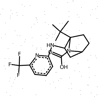 CC(C)(C)C12CCC(CC1Nc1cccc(C(F)(F)F)n1)N2C(=O)O